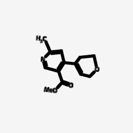 COC(=O)c1cnc(C)cc1C1=CCOCC1